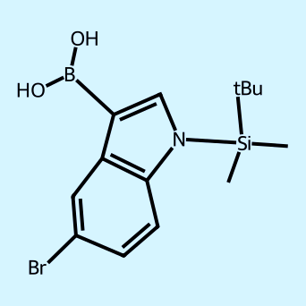 CC(C)(C)[Si](C)(C)n1cc(B(O)O)c2cc(Br)ccc21